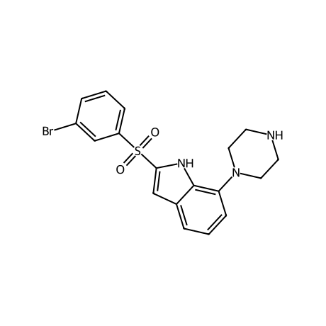 O=S(=O)(c1cccc(Br)c1)c1cc2cccc(N3CCNCC3)c2[nH]1